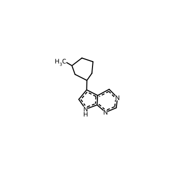 CC1CCCC(c2c[nH]c3ncncc23)C1